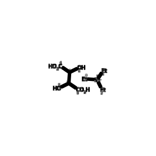 C[CH2][Sn]([CH2]C)[CH2]C.O=C(O)C(O)C(O)C(=O)O